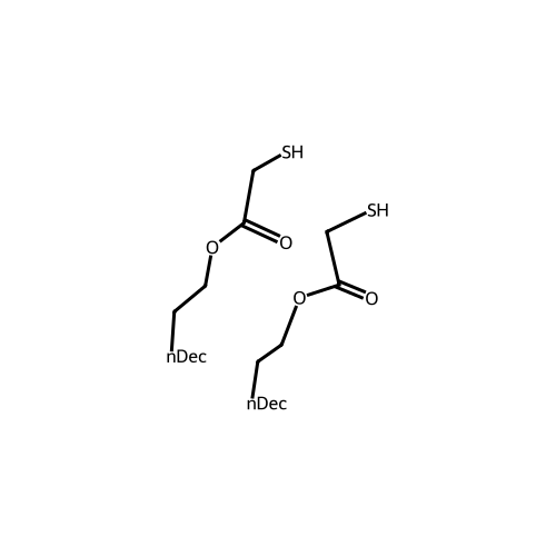 CCCCCCCCCCCCOC(=O)CS.CCCCCCCCCCCCOC(=O)CS